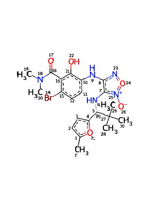 Cc1ccc([C@H](Nc2c(Nc3ccc(Br)c(C(=O)N(C)C)c3O)no[n+]2[O-])C(C)(C)C)o1